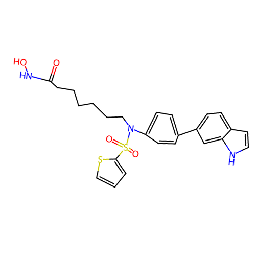 O=C(CCCCCCN(c1ccc(-c2ccc3cc[nH]c3c2)cc1)S(=O)(=O)c1cccs1)NO